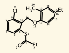 CCC(=O)Sc1cccc(Cl)c1COc1ccc(CC)cc1C